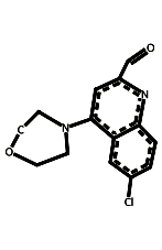 O=Cc1cc(N2CCOCC2)c2cc(Cl)ccc2n1